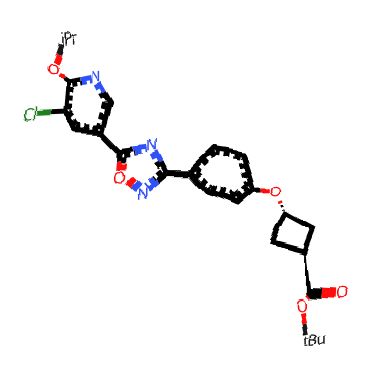 CC(C)Oc1ncc(-c2nc(-c3ccc(O[C@H]4C[C@H](C(=O)OC(C)(C)C)C4)cc3)no2)cc1Cl